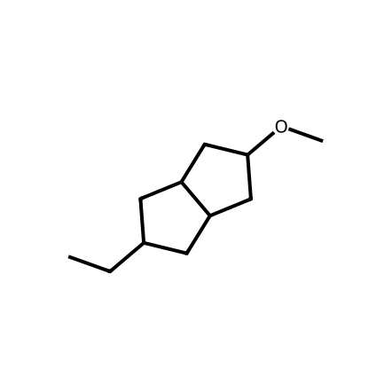 CCC1CC2CC(OC)CC2C1